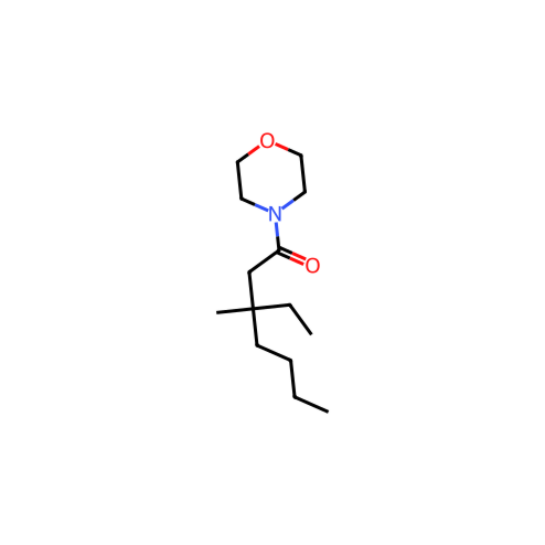 CCCCC(C)(CC)CC(=O)N1CCOCC1